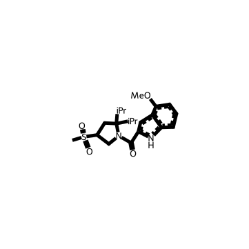 COc1cccc2[nH]c(C(=O)N3CC(S(C)(=O)=O)CC3(C(C)C)C(C)C)cc12